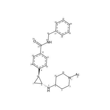 CC(=O)N1CCC(N[C@@H]2C[C@H]2c2ccc(C(=O)NCc3ccccc3)cc2)CC1